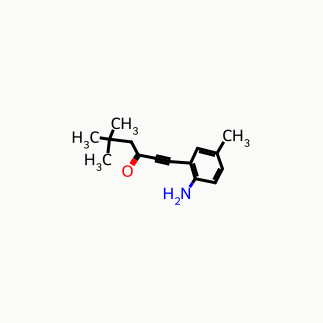 Cc1ccc(N)c(C#CC(=O)CC(C)(C)C)c1